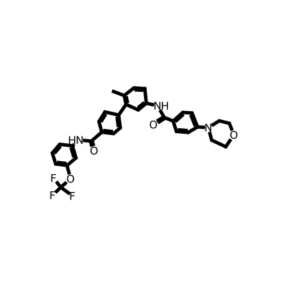 Cc1ccc(NC(=O)c2ccc(N3CCOCC3)cc2)cc1-c1ccc(C(=O)Nc2cccc(OC(F)(F)F)c2)cc1